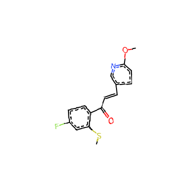 COc1ccc(/C=C/C(=O)c2ccc(F)cc2SC)cn1